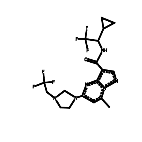 Cc1cc(N2CCN(CC(F)(F)F)C2)nc2c(C(=O)NC(C3CC3)C(F)(F)F)cnn12